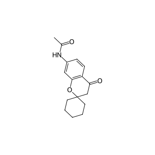 CC(=O)Nc1ccc2c(c1)OC1(CCCCC1)CC2=O